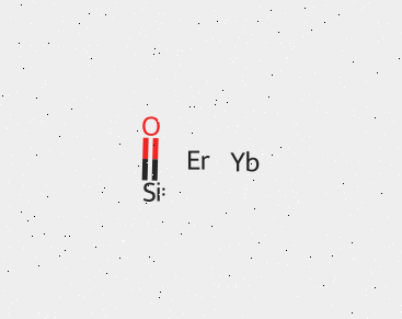 O=[Si].[Er].[Yb]